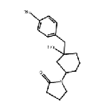 CC(C)(C)c1ccc(CC2(O)CCCC(N3CCCC3=O)C2)cc1